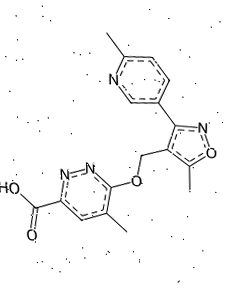 Cc1ccc(-c2noc(C)c2COc2nnc(C(=O)O)cc2C)cn1